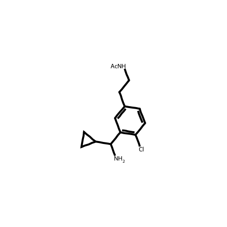 CC(=O)NCCc1ccc(Cl)c(C(N)C2CC2)c1